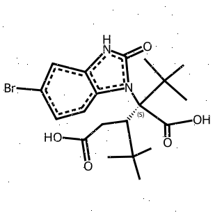 CC(C)(C)C(CC(=O)O)[C@](C(=O)O)(n1c(=O)[nH]c2cc(Br)ccc21)C(C)(C)C